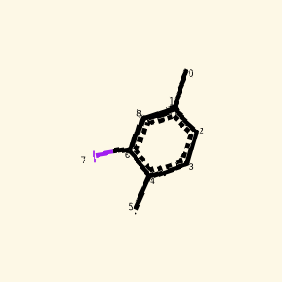 [CH2]c1ccc([CH2])c(I)c1